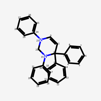 C1=CC(c2ccccc2)(c2ccccc2)N(c2ccccc2)CN1c1ccccc1